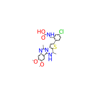 COc1cc2nc(C)nc(NC(C)c3ccc(-c4ccc(Cl)cc4CNC(=O)O)s3)c2cc1OC